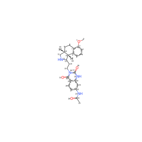 COc1cccc2c1CC[C@H]1CNC(CCn3c(=O)[nH]c4cc(NC(C)=O)ccc4c3=O)[C@@H]21